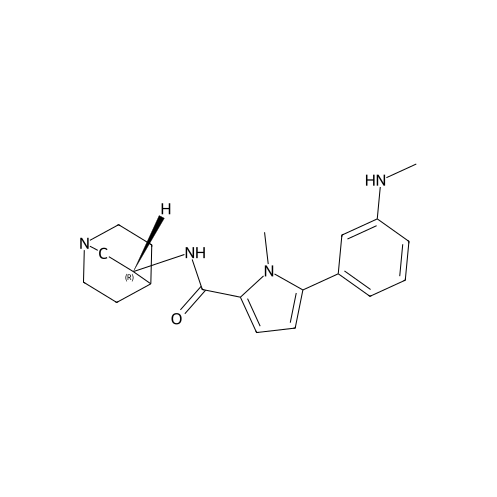 CNc1cccc(-c2ccc(C(=O)N[C@H]3CN4CCC3CC4)n2C)c1